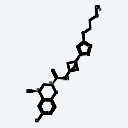 O=C(NC12CC(n3cc(OCCOC(F)(F)F)nn3)(C1)C2)[C@H]1C[C@@H](O)c2cc(Cl)ccc2O1